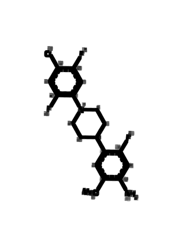 COc1cc(C2CCN(c3cc(F)c(Cl)cc3F)CC2)c(F)cc1N